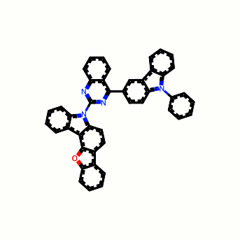 c1ccc(-n2c3ccccc3c3cc(-c4nc(-n5c6ccccc6c6c7oc8ccccc8c7ccc65)nc5ccccc45)ccc32)cc1